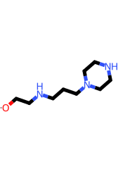 [O]CCNCCCN1CCNCC1